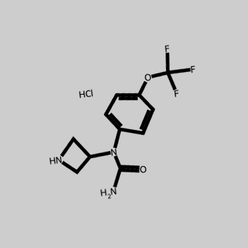 Cl.NC(=O)N(c1ccc(OC(F)(F)F)cc1)C1CNC1